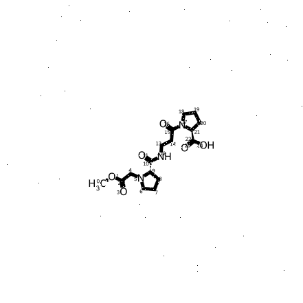 COC(=O)CN1CCC[C@H]1C(=O)NCCC(=O)N1CCC[C@H]1C(=O)O